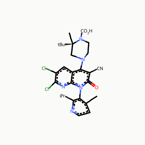 Cc1ccnc(C(C)C)c1-n1c(=O)c(C#N)c(N2CCN(C(=O)O)[C@](C)(C(C)(C)C)C2)c2cc(Cl)c(Cl)nc21